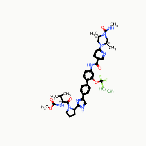 CNC(=O)N1C[C@@H](C)N(c2ccc(C(=O)Nc3ccc(-c4ccc(-c5c[nH]c(C6CCCN6C(=O)[C@@H](NC(=O)OC)C(C)C)n5)cc4)c(OC(F)(F)F)c3)cn2)C[C@@H]1C.Cl.Cl